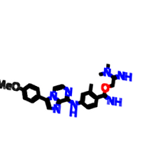 COc1ccc(-c2cnc3c(Nc4ccc(C(=N)OCC(=N)N(C)C)c(C)c4)nccn23)cc1